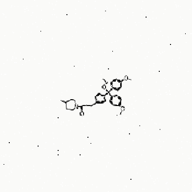 CCOC(c1ccc(CCC(=O)N2CCC(C)CC2)cc1)(c1ccc(OC)cc1)c1ccc(OC)cc1